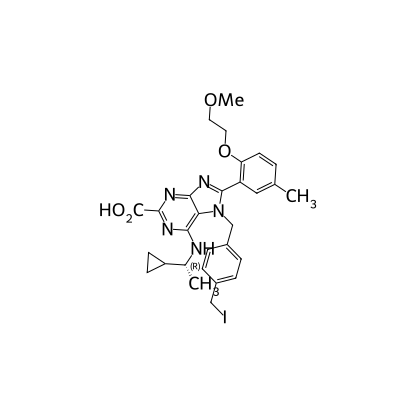 COCCOc1ccc(C)cc1-c1nc2nc(C(=O)O)nc(N[C@H](C)C3CC3)c2n1Cc1ccc(CI)cc1